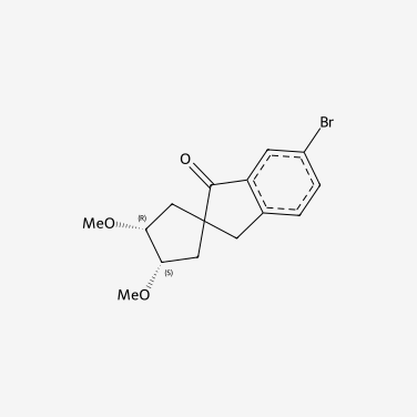 CO[C@H]1CC2(Cc3ccc(Br)cc3C2=O)C[C@H]1OC